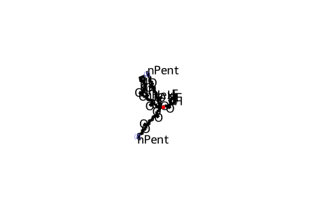 CCCCC/C=C\CCOC(=O)CCCCC(=O)OCC(COC(=O)CCCCC(=O)OCC/C=C\CCCCC)(COC(=O)CCC(CCCCCC)OC(=O)NCCN1CCCC1)COC(=O)C1C[C@@H]2[C@H](C1)C2(F)F